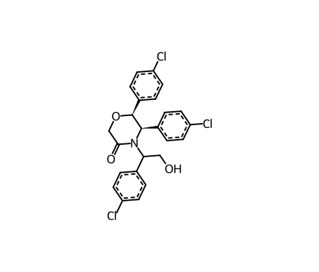 O=C1CO[C@@H](c2ccc(Cl)cc2)[C@@H](c2ccc(Cl)cc2)N1C(CO)c1ccc(Cl)cc1